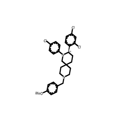 COc1ccc(CN2CCC3(CC[C@H](c4ccc(Cl)cc4Cl)N(c4ccc(Cl)cc4)C3)CC2)cc1